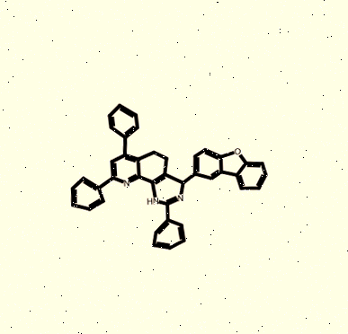 c1ccc(C2=NC(c3ccc4oc5ccccc5c4c3)C3=C(N2)c2nc(-c4ccccc4)cc(-c4ccccc4)c2CC3)cc1